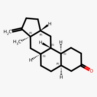 C=C1CC[C@@H]2C[C@H]3[C@@H](CC[C@@H]4CC(=O)CC[C@@H]43)C[C@@]12C